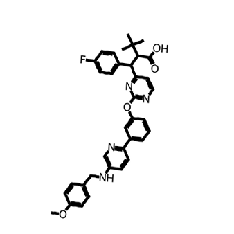 COc1ccc(CNc2ccc(-c3cccc(Oc4nccc(C(c5ccc(F)cc5)C(C(=O)O)C(C)(C)C)n4)c3)nc2)cc1